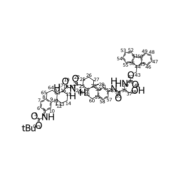 CC(C)(C)OC(=O)Nc1ccc2c(c1)[C@@]1(C)CCC[C@](C)(C(=O)NC(=O)[C@@]3(C)CCC[C@]4(C)c5cc(NC(=O)C(CO)NC(=O)OCC6c7ccccc7-c7ccccc76)ccc5CC[C@@H]34)[C@@H]1CC2